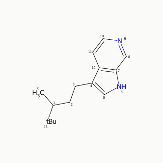 CC(CCc1c[nH]c2cnccc12)C(C)(C)C